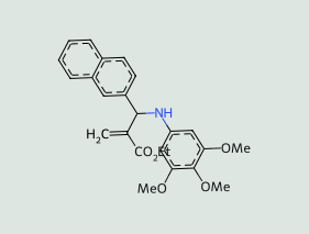 C=C(C(=O)OCC)C(Nc1cc(OC)c(OC)c(OC)c1)c1ccc2ccccc2c1